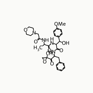 COc1ccc(C(O)C(NC(=O)C(C)NC(=O)CN2CCOCC2)C(=O)NC(Cc2ccccc2)C(=O)C2(C)CO2)cc1